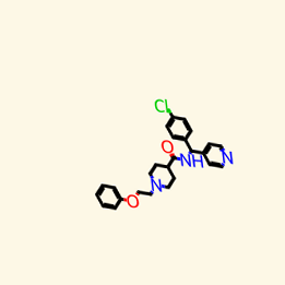 O=C(NC(c1ccncc1)c1ccc(Cl)cc1)C1CCN(CCOc2ccccc2)CC1